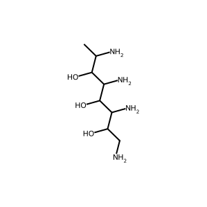 CC(N)C(O)C(N)C(O)C(N)C(O)CN